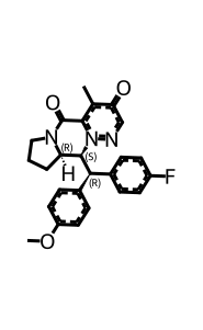 COc1ccc([C@H](c2ccc(F)cc2)[C@H]2[C@H]3CCCN3C(=O)c3c(C)c(=O)cnn32)cc1